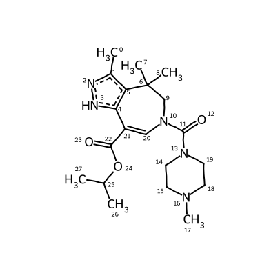 Cc1n[nH]c2c1C(C)(C)CN(C(=O)N1CCN(C)CC1)C=C2C(=O)OC(C)C